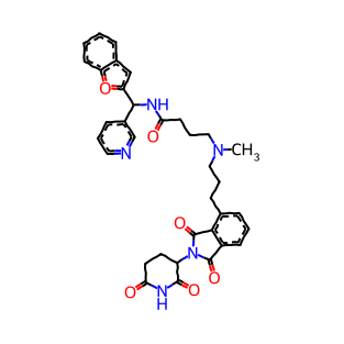 CN(CCCC(=O)NC(c1cccnc1)c1cc2ccccc2o1)CCCc1cccc2c1C(=O)N(C1CCC(=O)NC1=O)C2=O